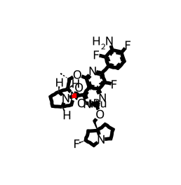 C[C@@H]1Oc2nc(-c3ccc(F)c(N)c3F)c(F)c3nc(OC[C@@]45CCCN4C[C@H](F)C5)nc(c23)N2C[C@H]3CC[C@@H]([C@@H]12)N3C(=O)OC(C)(C)C